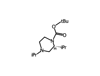 CC(C)[C@@H]1CN(C(C)C)CCN1C(=O)OC(C)(C)C